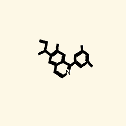 CCC(C)c1cc2ccnc(-c3cc(C)cc(C)c3)c2cc1C